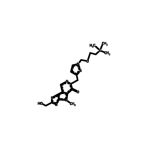 Cn1c2nc(CO)sc2c2cnn(Cc3ccn(COCC[Si](C)(C)C)n3)c(=O)c21